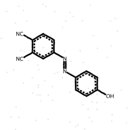 N#Cc1ccc(N=Nc2ccc(O)cc2)cc1C#N